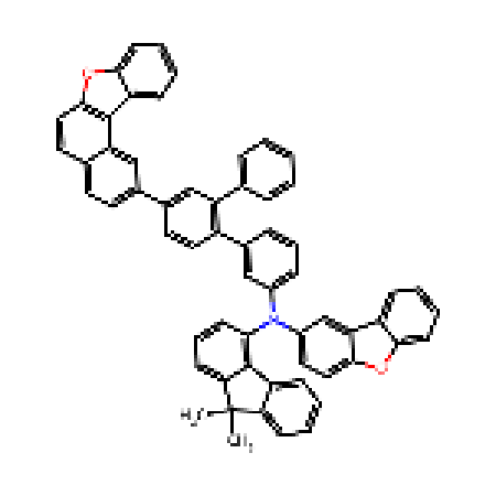 CC1(C)c2ccccc2-c2c(N(c3cccc(-c4ccc(-c5ccc6ccc7oc8ccccc8c7c6c5)cc4-c4ccccc4)c3)c3ccc4oc5ccccc5c4c3)cccc21